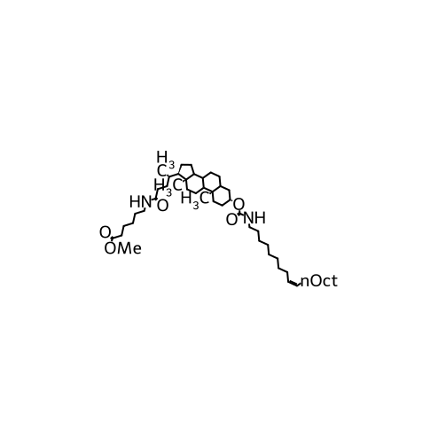 CCCCCCCC/C=C\CCCCCCCCNC(=O)O[C@@H]1CC[C@@]2(C)C(CCC3C2CC[C@@]2(C)C3CC[C@@H]2[C@H](C)CCC(=O)NCCCCCC(=O)OC)C1